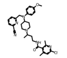 COc1ccc(N(Cc2cccc(C#N)n2)C2CCN(C(C)CCNC(=O)c3c(C)cc(Cl)nc3C)CC2)cc1